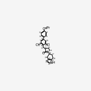 CC(C)Oc1ccc(-c2cc(Cl)c(CC3CCN(C4CCc5[nH]cnc5C4)C3=O)c(Cl)c2)cc1